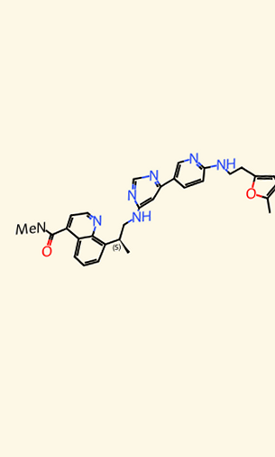 CNC(=O)c1ccnc2c([C@H](C)CNc3cc(-c4ccc(NCCc5ccc(C)o5)nc4)ncn3)cccc12